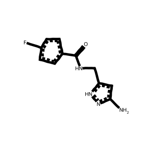 Nc1cc(CNC(=O)c2ccc(F)cc2)[nH]n1